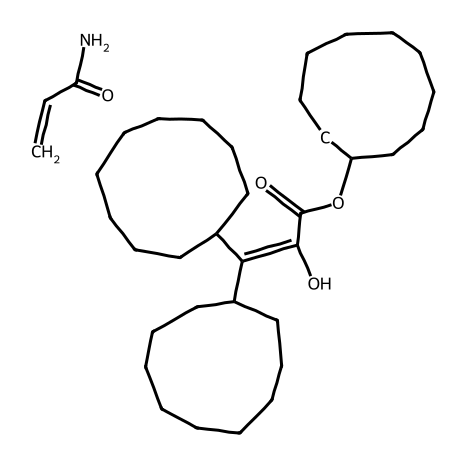 C=CC(N)=O.O=C(OC1CCCCCCCCC1)C(O)=C(C1CCCCCCCCC1)C1CCCCCCCCC1